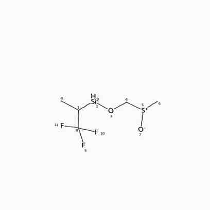 CC([SiH2]OC[S+](C)[O-])C(F)(F)F